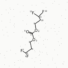 O=C(OCCC(F)F)OCCC(F)F